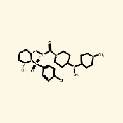 C[C@@H]1CCC[C@H](COC(=O)N2CCC(N(C)C3CCN(C)CC3)CC2)N1S(=O)(=O)c1ccc(Cl)cc1